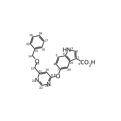 O=C(O)c1c[nH]c2ccc(Oc3cc(COCc4ccccc4)ncn3)cc12